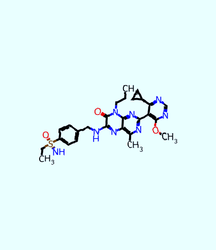 CCCn1c(=O)c(NCc2ccc(S(=N)(=O)CC)cc2)nc2c(C)nc(-c3c(OC)ncnc3C3CC3)nc21